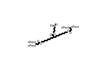 CCCCCC(CCCCC)CC(=O)OCCCCCCCCCC(CCCCCCCCOC(=O)CC(CCCCC)CCCCC)C(=O)OCCCCN(CC)CC